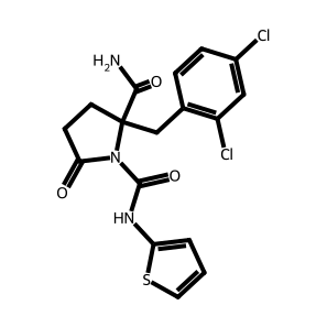 NC(=O)C1(Cc2ccc(Cl)cc2Cl)CCC(=O)N1C(=O)Nc1cccs1